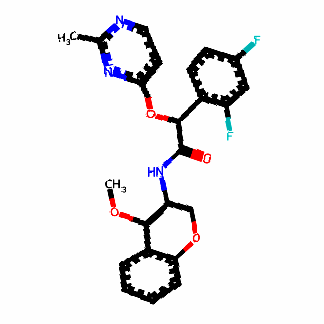 COC1c2ccccc2OCC1NC(=O)C(Oc1ccnc(C)n1)c1ccc(F)cc1F